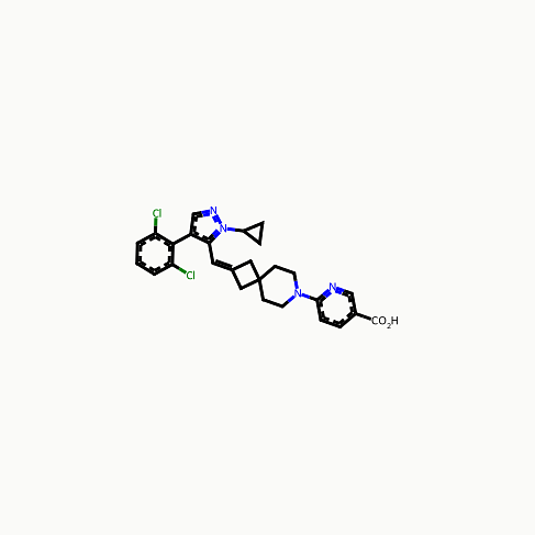 O=C(O)c1ccc(N2CCC3(CC2)CC(=Cc2c(-c4c(Cl)cccc4Cl)cnn2C2CC2)C3)nc1